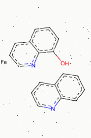 Oc1cccc2cccnc12.[Fe].c1ccc2ncccc2c1